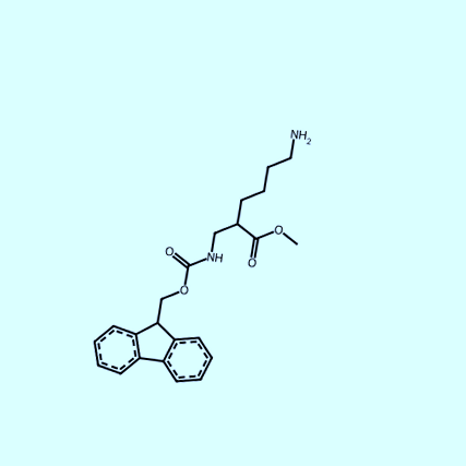 COC(=O)C(CCCCN)CNC(=O)OCC1c2ccccc2-c2ccccc21